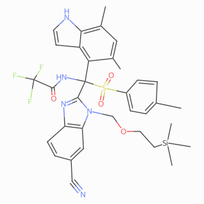 Cc1ccc(S(=O)(=O)C(NC(=O)C(F)(F)F)(c2c(C)cc(C)c3[nH]ccc23)c2nc3ccc(C#N)cc3n2COCC[Si](C)(C)C)cc1